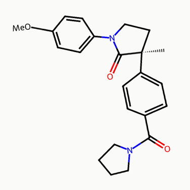 COc1ccc(N2CC[C@@](C)(c3ccc(C(=O)N4CCCC4)cc3)C2=O)cc1